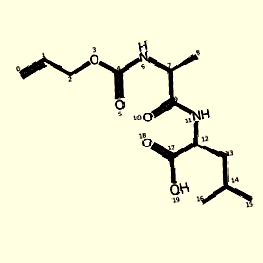 C=CCOC(=O)N[C@@H](C)C(=O)N[C@@H](CC(C)C)C(=O)O